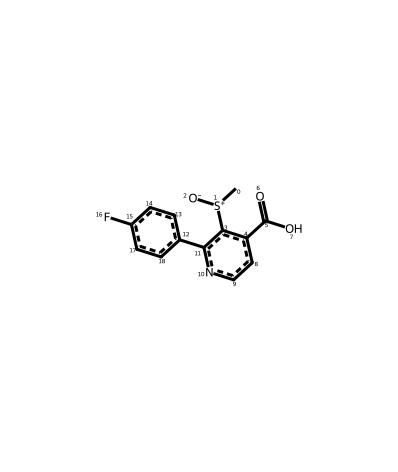 C[S+]([O-])c1c(C(=O)O)ccnc1-c1ccc(F)cc1